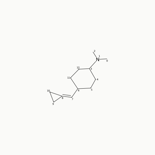 CN(C)C1CCC(C=C2CC2)CC1